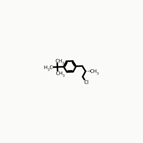 C[C@H](CCl)Cc1ccc(C(C)(C)C)cc1